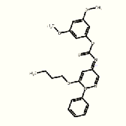 CCCCOc1c/c(=N\C(=O)Oc2cc(OC)cc(OC)c2)cnn1-c1ccccc1